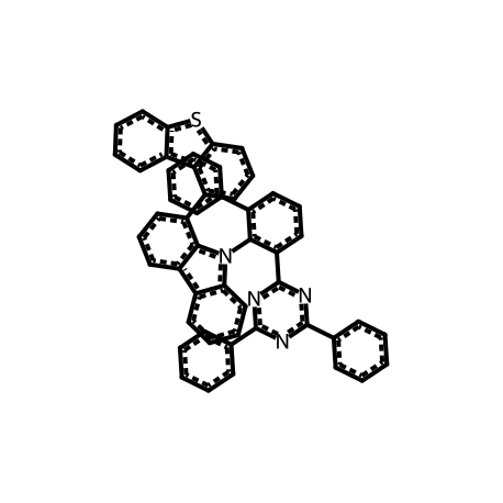 c1ccc(-c2nc(-c3ccccc3)nc(-c3cccc(-c4ccccc4)c3-n3c4ccccc4c4cccc(-c5cccc6sc7ccccc7c56)c43)n2)cc1